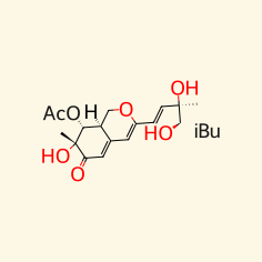 CC[C@H](C)[C@@H](O)[C@](C)(O)/C=C/C1=CC2=CC(=O)[C@](C)(O)[C@H](OC(C)=O)[C@H]2CO1